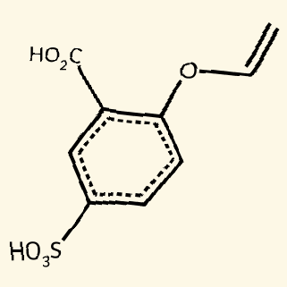 C=COc1ccc(S(=O)(=O)O)cc1C(=O)O